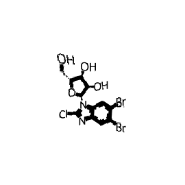 OC[C@H]1O[C@@H](n2c(Cl)nc3cc(Br)c(Br)cc32)[C@H](O)[C@@H]1O